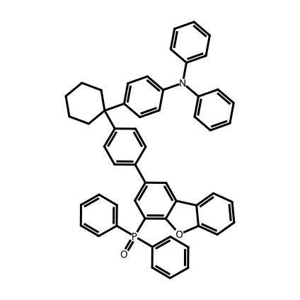 O=P(c1ccccc1)(c1ccccc1)c1cc(-c2ccc(C3(c4ccc(N(c5ccccc5)c5ccccc5)cc4)CCCCC3)cc2)cc2c1oc1ccccc12